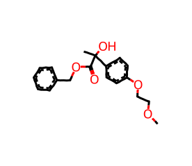 COCCOc1ccc(C(C)(O)C(=O)OCc2ccccc2)cc1